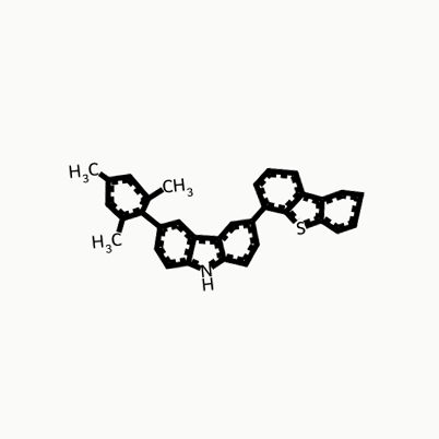 Cc1cc(C)c(-c2ccc3[nH]c4ccc(-c5cccc6c5sc5ccccc56)cc4c3c2)c(C)c1